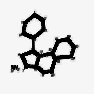 N.c1ccc(-c2cnc3cnc4ccccc4n23)cc1